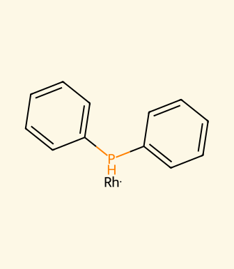 [Rh].c1ccc(Pc2ccccc2)cc1